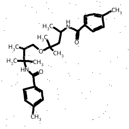 Cc1ccc(C(=O)NC(C)CC(C)(C)OCC(C)C(C)(C)NC(=O)c2ccc(C)cc2)cc1